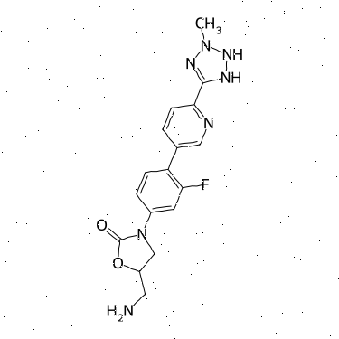 CN1N=C(c2ccc(-c3ccc(N4CC(CN)OC4=O)cc3F)cn2)NN1